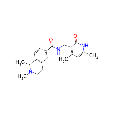 Cc1cc(C)c(CNC(=O)c2ccc3c(c2)CCN(C)C3C)c(=O)[nH]1